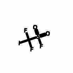 O=S(=O)(F)C(F)(F)I